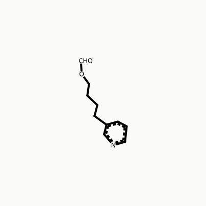 O=COCCCCc1cccnc1